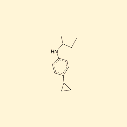 CCC(C)Nc1ccc(C2CC2)cc1